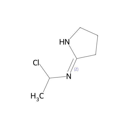 CC(Cl)/N=C1/CCCN1